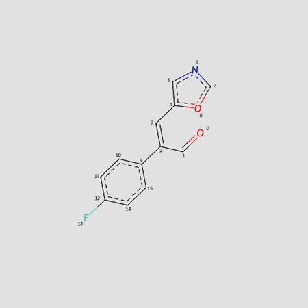 O=C/C(=C\c1cnco1)c1ccc(F)cc1